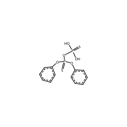 OP(O)(=S)OP(=S)(Oc1ccccc1)Oc1ccccc1